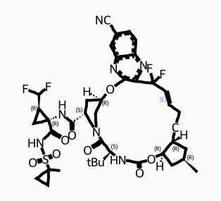 C[C@@H]1C[C@H]2CC/C=C/C(F)(F)c3nc4ccc(C#N)cc4nc3O[C@@H]3C[C@@H](C(=O)N[C@]4(C(=O)NS(=O)(=O)C5(C)CC5)C[C@H]4C(F)F)N(C3)C(=O)[C@H](C(C)(C)C)NC(=O)O[C@@H]2C1